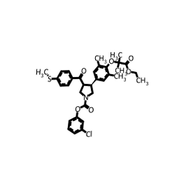 CCOC(=O)C(C)(C)Oc1c(C)cc([C@H]2CN(C(=O)Oc3cccc(Cl)c3)CC2C(=O)c2ccc(SC)cc2)cc1C